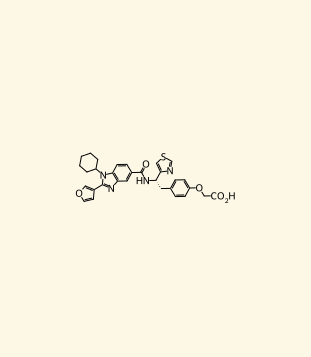 O=C(O)COc1ccc(C[C@H](NC(=O)c2ccc3c(c2)nc(-c2ccoc2)n3C2CCCCC2)c2cscn2)cc1